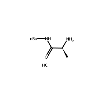 CCCCNC(=O)[C@H](C)N.Cl